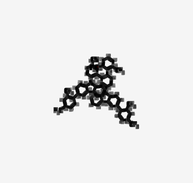 N#Cc1ccc(-n2c3ccccc3c3cc(-c4ccc(C(F)(F)F)cc4C(F)(F)F)ccc32)c(-c2cc(-n3c4ccccc4c4cc(-c5ccc(C(F)(F)F)cc5C(F)(F)F)ccc43)ccc2-c2c(C(F)(F)F)cccc2C(F)(F)F)c1